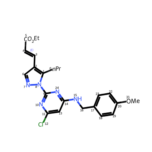 CCCc1c(/C=C/C(=O)OCC)cnn1-c1nc(Cl)cc(NCc2ccc(OC)cc2)n1